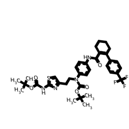 CC(C)(C)OC(=O)Nc1nc(CCN(C(=O)OC(C)(C)C)c2ccc(NC(=O)C3=C(c4ccc(C(F)(F)F)cc4)CCCC3)cc2)cs1